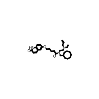 C=CCN(CC)CCN(CC1CCCCCCC1)C(=O)CCCCOc1ccc2[nH]c(=O)ccc2c1